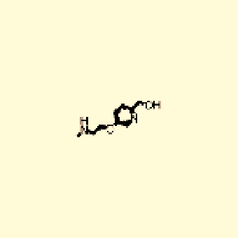 CNCCOc1ccc(CO)nc1